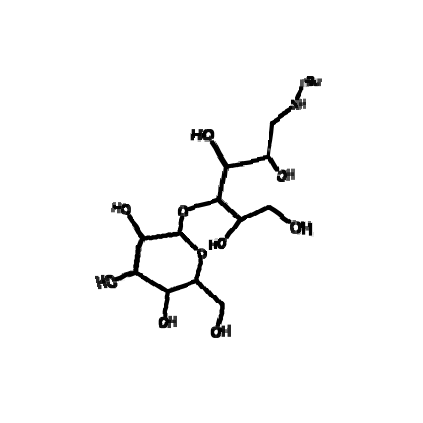 CCCCNCC(O)C(O)C(OC1OC(CO)C(O)C(O)C1O)C(O)CO